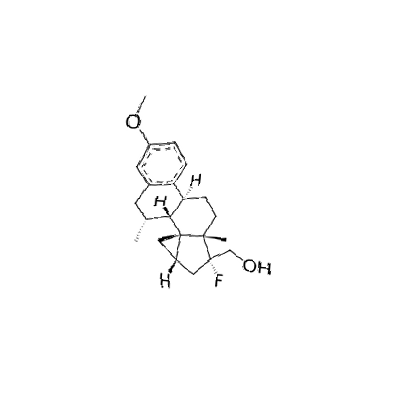 COc1ccc2c(c1)C[C@@H](C)[C@@H]1[C@@H]2CC[C@]2(C)[C@@](F)(CO)C[C@@H]3C[C@@]312